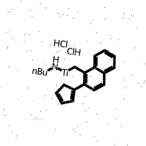 CCCC[NH][Ti][CH2]c1c(C2=CC=CC2)ccc2ccccc12.Cl.Cl